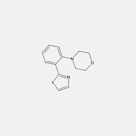 c1ccc(N2CCOCC2)c(-c2nccs2)c1